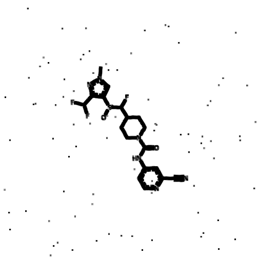 Cn1cc([S+]([O-])C(F)C2CCN(C(=O)Nc3ccnc(C#N)c3)CC2)c(C(F)F)n1